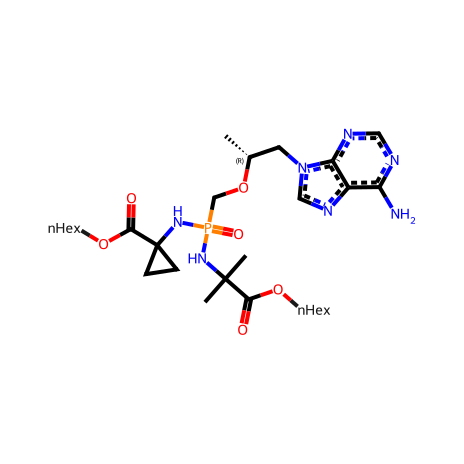 CCCCCCOC(=O)C(C)(C)NP(=O)(CO[C@H](C)Cn1cnc2c(N)ncnc21)NC1(C(=O)OCCCCCC)CC1